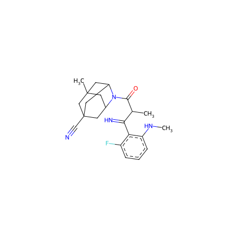 CNc1cccc(F)c1C(=N)C(C)C(=O)N1C2CC3(C)CC1CC(C#N)(C2)C3